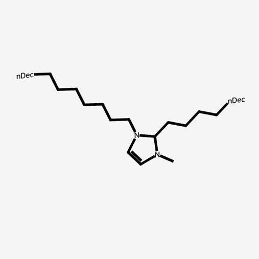 CCCCCCCCCCCCCCCCCN1C=CN(C)C1CCCCCCCCCCCCCC